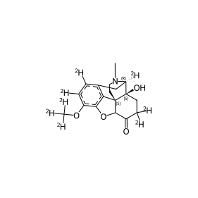 [2H]c1c([2H])c(OC([2H])([2H])[2H])c2c3c1C[C@@]1([2H])N(C)CC[C@@]34C(O2)C(=O)C([2H])([2H])C[C@]41O